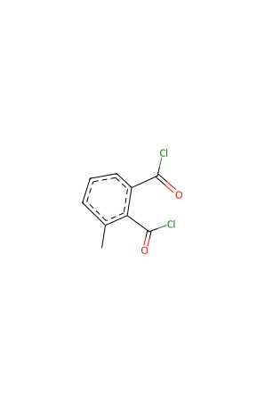 Cc1cccc(C(=O)Cl)c1C(=O)Cl